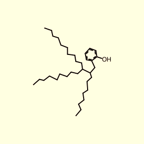 CCCCCCCCCCC(CCCCCCCCC)C(CCCCCCCC)Cc1ccccc1O